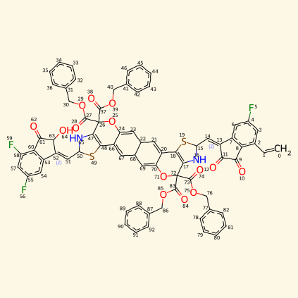 C=Cc1cc(F)cc2c1C(=O)C(=O)/C2=C\C1NC2=C(S1)C1=CC3C=C4OC(C(=O)OCc5ccccc5)(C(=O)OCc5ccccc5)C5=C(SC(/C=C6/c7cc(F)cc(F)c7C(=O)C6O)N5)C4=CC3C=C1OC2(C(=O)OCc1ccccc1)C(=O)OCc1ccccc1